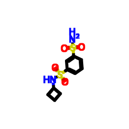 NS(=O)(=O)c1cccc(S(=O)(=O)NC2CCC2)c1